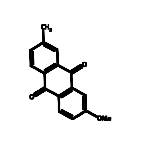 COc1ccc2c(c1)C(=O)c1cc(C)ccc1C2=O